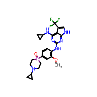 COc1cc(P2(=O)CCN(C3CC3)CC2)ccc1Nc1nc(NC2CC2)c2c(C(F)(F)F)c[nH]c2n1